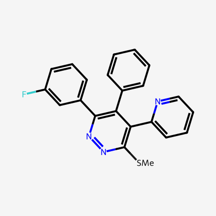 CSc1nnc(-c2cccc(F)c2)c(-c2ccccc2)c1-c1ccccn1